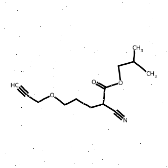 C#CCOCCCC(C#N)C(=O)OCC(C)C